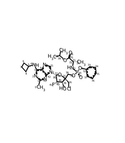 Cc1nc(NC2CCC2)c2ncn([C@@H]3O[C@](CCl)(COP(=O)(N[C@@H](C)C(=O)OC(C)C)Oc4ccccc4)[C@@H](O)[C@@H]3F)c2n1